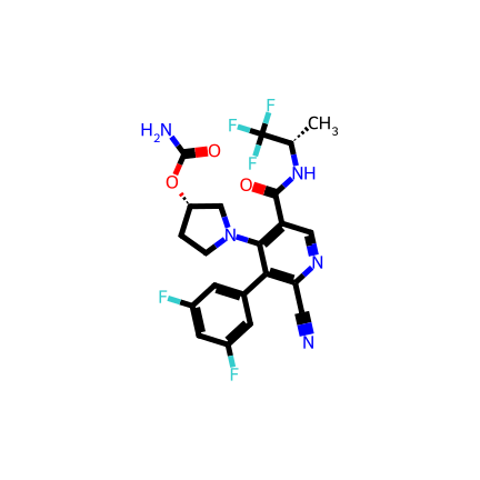 C[C@H](NC(=O)c1cnc(C#N)c(-c2cc(F)cc(F)c2)c1N1CC[C@H](OC(N)=O)C1)C(F)(F)F